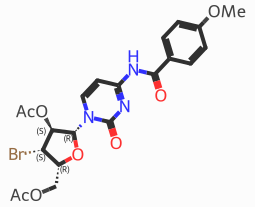 COc1ccc(C(=O)Nc2ccn([C@@H]3O[C@H](COC(C)=O)[C@H](Br)[C@H]3OC(C)=O)c(=O)n2)cc1